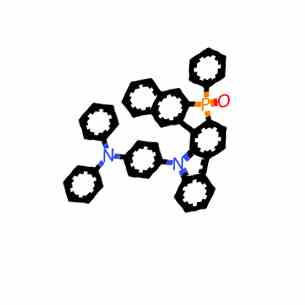 O=P1(c2ccccc2)c2cc3ccccc3cc2-c2c1ccc1c3ccccc3n(-c3ccc(N(c4ccccc4)c4ccccc4)cc3)c21